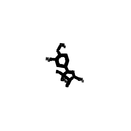 CSc1ccc(C2=NN(C)C(=O)C2(C)Br)cc1C